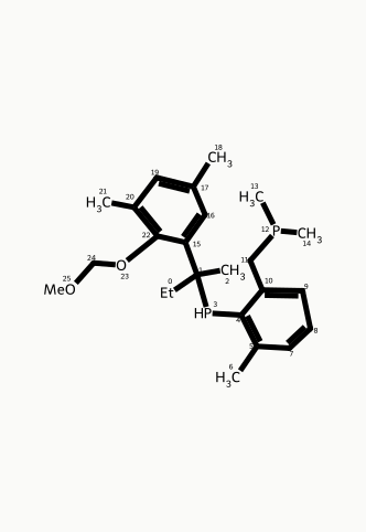 CCC(C)(Pc1c(C)cccc1CP(C)C)c1cc(C)cc(C)c1OCOC